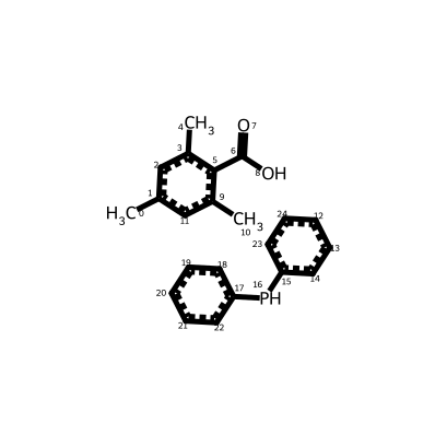 Cc1cc(C)c(C(=O)O)c(C)c1.c1ccc(Pc2ccccc2)cc1